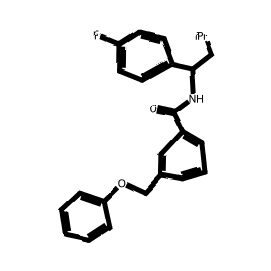 CC(C)CC(NC(=O)c1[c]c(COc2ccccc2)ccc1)c1ccc(F)cc1